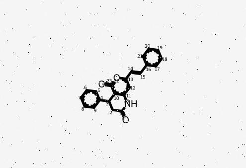 O=C1CC(c2ccccc2)c2c(cc(/C=C/c3ccccc3)oc2=O)N1